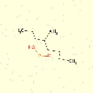 CCCC[CH]([AlH2])CCC.O=PO